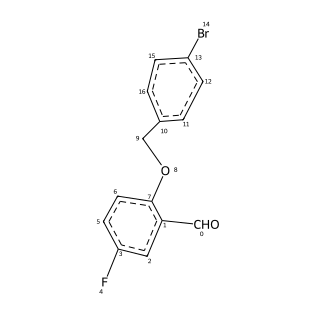 O=Cc1cc(F)ccc1OCc1ccc(Br)cc1